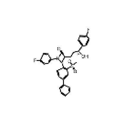 CS(=O)(=O)c1cc(-c2ccccc2)ccc1C1C(CC[C@H](O)c2ccc(F)cc2)C(=O)N1c1ccc(F)cc1